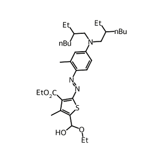 CCCCC(CC)CN(CC(CC)CCCC)c1ccc(/N=N/c2sc(C(O)OCC)c(C)c2C(=O)OCC)c(C)c1